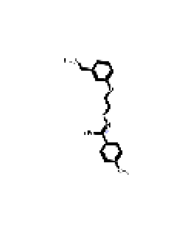 CCC/C(=N\OCCOc1cccc(CC(=O)O)c1)c1ccc(C)cc1